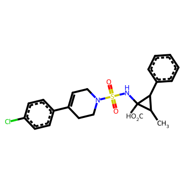 CC1C(c2ccccc2)C1(NS(=O)(=O)N1CC=C(c2ccc(Cl)cc2)CC1)C(=O)O